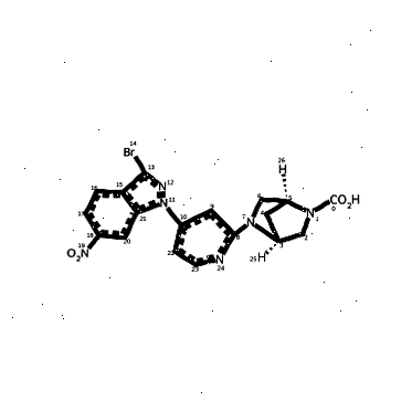 O=C(O)N1C[C@@H]2C[C@H]1CN2c1cc(-n2nc(Br)c3ccc([N+](=O)[O-])cc32)ccn1